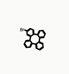 Brc1ccc2c(c1)-c1ccccc1-c1ccccc1-c1ccccc1-2